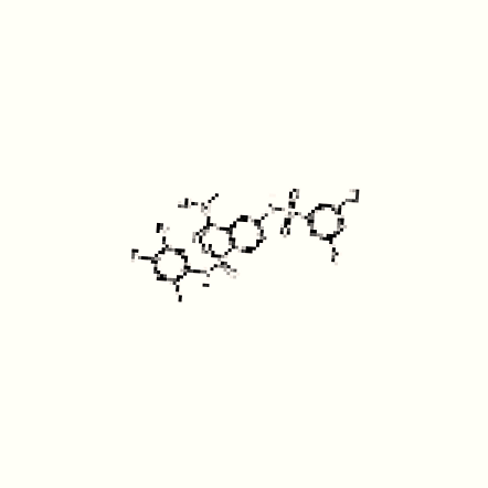 CCN(C)C(=O)c1cc(NS(=O)(=O)c2cc(Cl)cc(Cl)c2)ccc1S(=O)(=O)Nc1cc(Br)c(F)cc1C